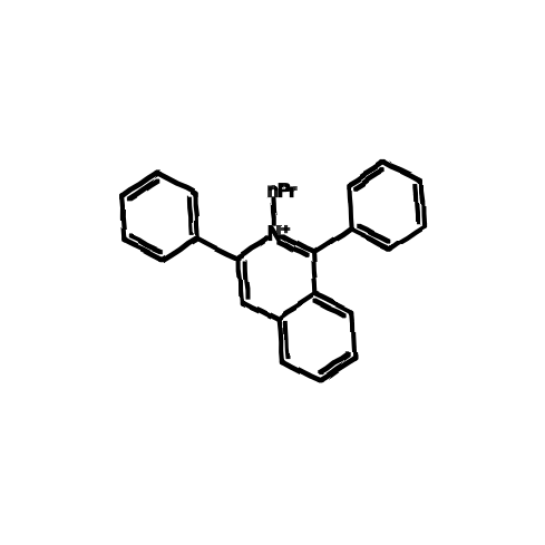 CCC[n+]1c(-c2ccccc2)cc2ccccc2c1-c1ccccc1